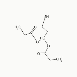 CCC(=O)O[SH](CCS)OC(=O)CC